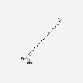 CCCCOC(CC)COCCCCCCCCCCCCCCCCC1CC1